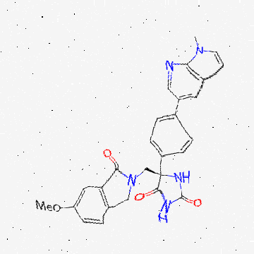 COc1ccc2c(c1)C(=O)N(C[C@@]1(c3ccc(-c4cnc5c(ccn5C)c4)cc3)NC(=O)NC1=O)C2